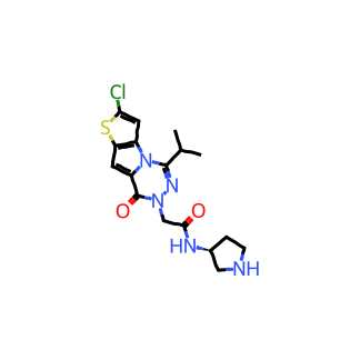 CC(C)c1nn(CC(=O)N[C@H]2CCNC2)c(=O)c2cc3sc(Cl)cc3n12